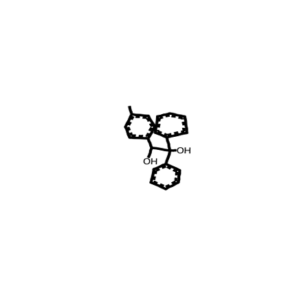 Cc1ccc(C(O)C(O)(c2ccccc2)c2ccccc2)cc1